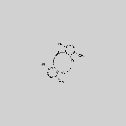 Cc1ccc(C(C)C)c2c1OCCOc1c(C)ccc(C(C)C)c1N=C=N2